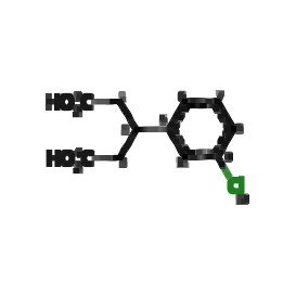 O=C(O)CC(CC(=O)O)c1cccc(Cl)c1